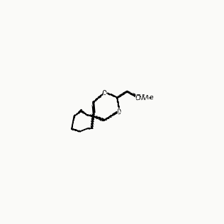 COCC1OCC2(CCCCC2)CO1